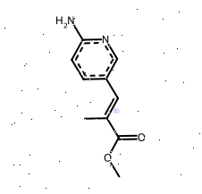 COC(=O)/C(C)=C/c1ccc(N)nc1